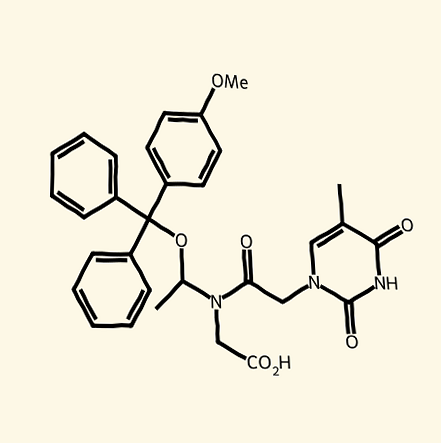 COc1ccc(C(OC(C)N(CC(=O)O)C(=O)Cn2cc(C)c(=O)[nH]c2=O)(c2ccccc2)c2ccccc2)cc1